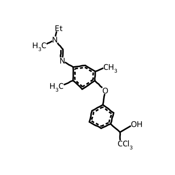 CCN(C)C=Nc1cc(C)c(Oc2cccc(C(O)C(Cl)(Cl)Cl)c2)cc1C